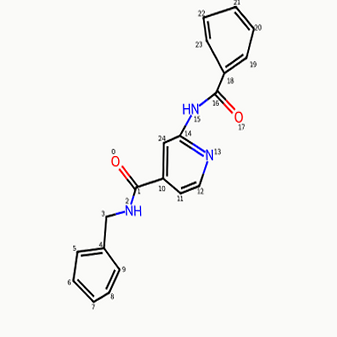 O=C(NCc1ccccc1)c1ccnc(NC(=O)c2ccccc2)c1